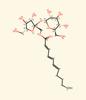 CCCCCCCCCCCCCC=CC=CC=CC(=O)OC[C@@]1(O[C@H]2O[C@H](CO)[C@@H](O)[C@H](O)[C@H]2O)O[C@H](CO)[C@@H](O)[C@@H]1O